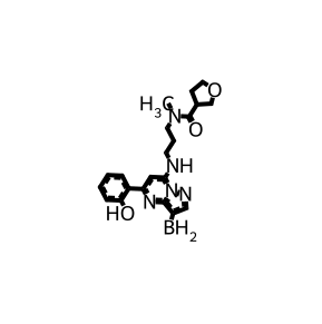 Bc1cnn2c(NCCCN(C)C(=O)C3CCOC3)cc(-c3ccccc3O)nc12